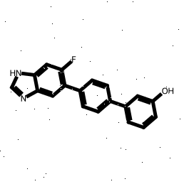 Oc1cccc(-c2ccc(-c3cc4nc[nH]c4cc3F)cc2)c1